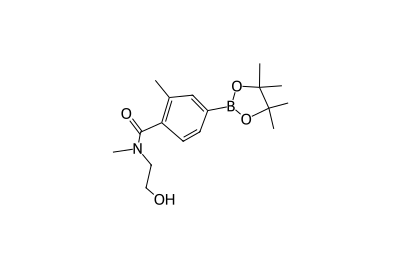 Cc1cc(B2OC(C)(C)C(C)(C)O2)ccc1C(=O)N(C)CCO